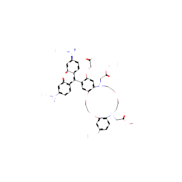 COC(=O)CN1CCOCCN(CC(=O)OC)c2cc(OCC(=O)O)c(-c3c4ccc(=[N+](C)C)cc-4oc4cc(N(C)C)ccc34)cc2OCCOc2cc(C)ccc21